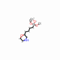 CCO[Si](CCCCC1CNCCO1)(OCC)OCC